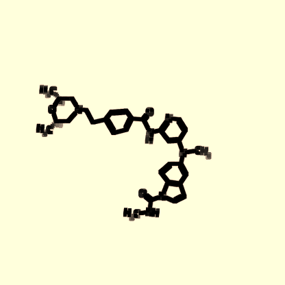 CNC(=O)n1ccc2cc(N(C)c3ccnc(NC(=O)c4ccc(CCN5C[C@@H](C)O[C@@H](C)C5)cc4)c3)ccc21